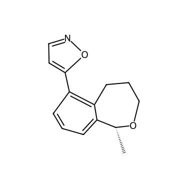 C[C@H]1OCCCc2c(-c3ccno3)cccc21